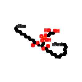 CCCCC/C=C\C/C=C\C/C=C\CCCCC(=O)O[C@H](COC(=O)CCCCCCC/C=C\CCCCCC)COP(=O)(O)OC[C@@H](O)CO